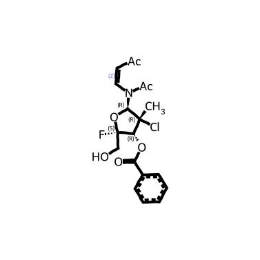 CC(=O)/C=C\N(C(C)=O)[C@@H]1O[C@](F)(CO)[C@@H](OC(=O)c2ccccc2)[C@@]1(C)Cl